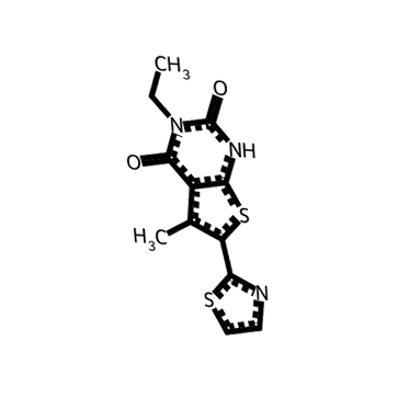 CCn1c(=O)[nH]c2sc(-c3nccs3)c(C)c2c1=O